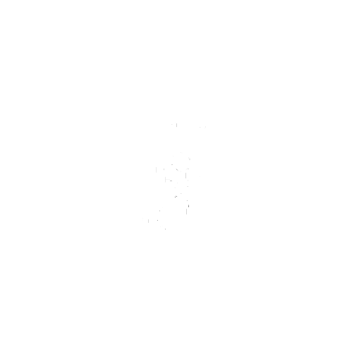 CCCCCC(C(C)C)C(C)(C)c1cc(O)c([C@H]2C=C(COC(=O)C(C)(C)C)[C@H]3C[C@@H]2C3(C)C)c(O)c1